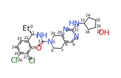 CC[C@@H](NC(=O)N1CCc2cnc(N[C@H]3CC[C@H](O)C3)nc2C1)c1ccc(Cl)c(Cl)c1